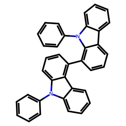 c1ccc(-n2c3ccccc3c3c(-c4cccc5c6ccccc6n(-c6ccccc6)c45)cccc32)cc1